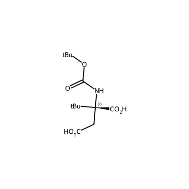 CC(C)(C)OC(=O)N[C@@](CC(=O)O)(C(=O)O)C(C)(C)C